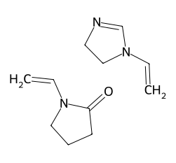 C=CN1C=NCC1.C=CN1CCCC1=O